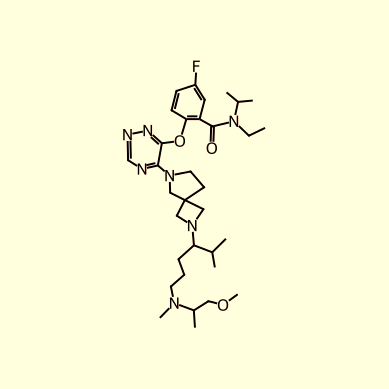 CCN(C(=O)c1cc(F)ccc1Oc1nncnc1N1CCC2(C1)CN(C(CCCN(C)C(C)COC)C(C)C)C2)C(C)C